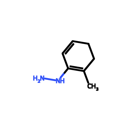 CC1=C(NN)C=CCC1